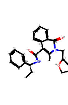 CC[C@H](NC(=O)c1c(C)n(CC2CCCO2)c(=O)c2ccccc12)c1ccccc1